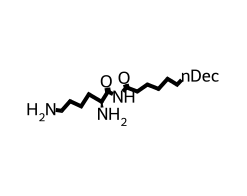 CCCCCCCCCCCCCCCC(=O)NC(=O)[C@@H](N)CCCCN